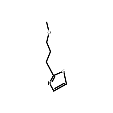 COCCCc1nccs1